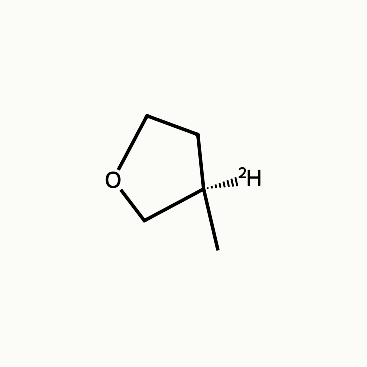 [2H][C@@]1(C)CCOC1